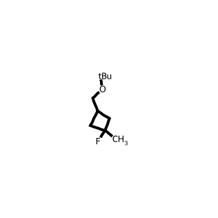 CC1(F)CC(COC(C)(C)C)C1